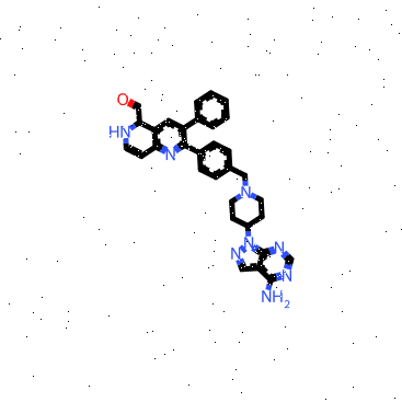 Nc1ncnc2c1cnn2C1CCN(Cc2ccc(-c3nc4c(cc3-c3ccccc3)C(C=O)NC=C4)cc2)CC1